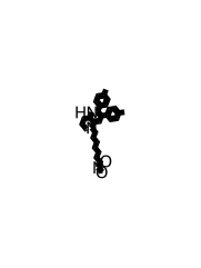 Cc1ccc(C2=C(c3ccc(C)cc3)NC3CCCN(CCCCCCC(=O)N=O)C3=C2)cc1